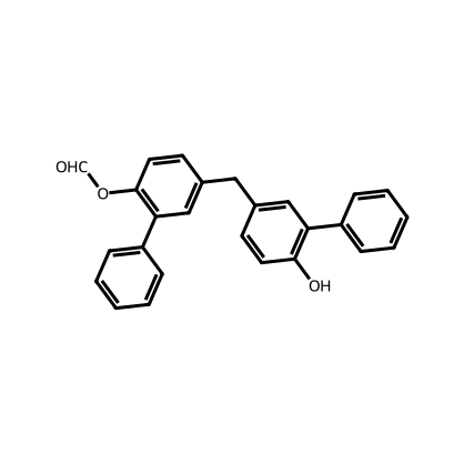 O=COc1ccc(Cc2ccc(O)c(-c3ccccc3)c2)cc1-c1ccccc1